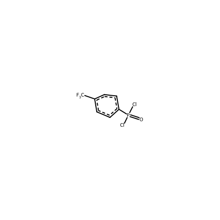 O=P(Cl)(Cl)c1ccc(C(F)(F)F)cc1